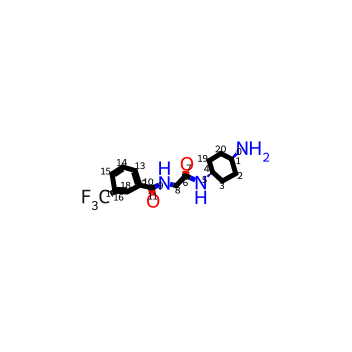 N[C@H]1CC[C@H](NC(=O)CNC(=O)c2cccc(C(F)(F)F)c2)CC1